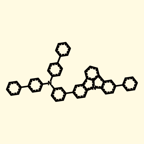 c1ccc(-c2ccc(N(c3ccc(-c4ccccc4)cc3)c3cccc(-c4ccc5c(c4)c4cccc6c7cc(-c8ccccc8)ccc7n5c64)c3)cc2)cc1